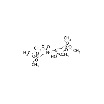 CCO[Si](CCCN(CCN(CCC[Si](OCC)(OCC)OCC)C(=O)O)C(=O)O)(OCC)OCC